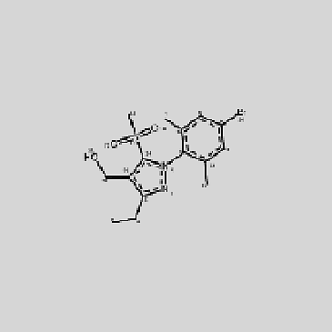 CCc1nn(-c2c(C)cc(Br)cc2C)c(S(C)(=O)=O)c1CO